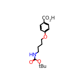 CC(C)(C)OC(=O)NCCCCOc1ccc(C(=O)O)cc1